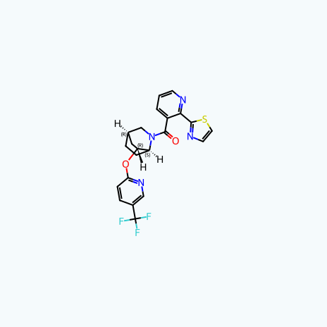 O=C(c1cccnc1-c1nccs1)N1C[C@@H]2CC[C@H]1[C@H](Oc1ccc(C(F)(F)F)cn1)C2